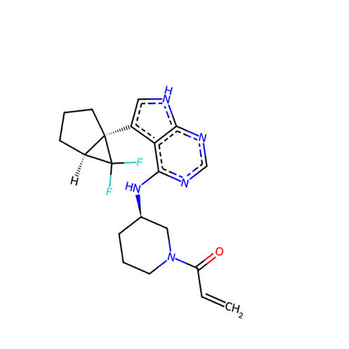 C=CC(=O)N1CCC[C@@H](Nc2ncnc3[nH]cc([C@@]45CCC[C@@H]4C5(F)F)c23)C1